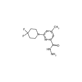 Cc1cc(C(=O)NN)nc(N2CCC(F)(F)CC2)c1